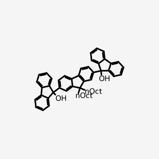 CCCCCCCCC1(CCCCCCCC)c2cc(C3(O)c4ccccc4-c4ccccc43)ccc2-c2ccc(C3(O)c4ccccc4-c4ccccc43)cc21